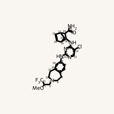 COC(CN1CCc2ccc(Nc3ncc(Cl)c(NC4C5C=CC(C5)C4C(N)=O)n3)cc2CC1)C(F)(F)F